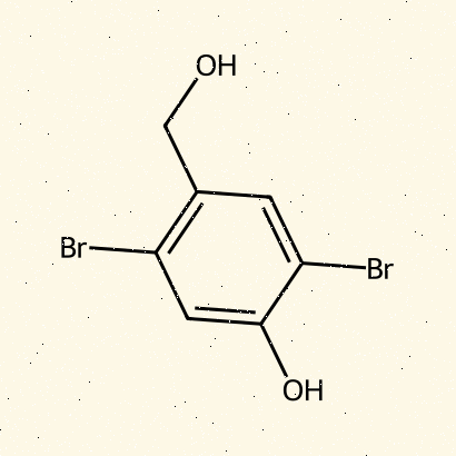 OCc1cc(Br)c(O)cc1Br